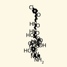 CC(C)(COP(=O)(O)OP(=O)(O)OC[C@H]1O[C@@H](n2cnc3c(N)ncnc32)[C@H](O)[C@@H]1OP(=O)(O)O)C(O)C(=O)NCCC(=O)NCCSCC(=O)c1ccc(Cl)cc1